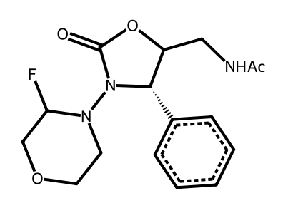 CC(=O)NCC1OC(=O)N(N2CCOCC2F)[C@H]1c1ccccc1